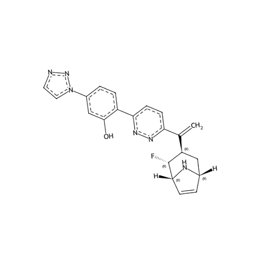 C=C(c1ccc(-c2ccc(-n3ccnn3)cc2O)nn1)[C@H]1C[C@@H]2C=C[C@@H](N2)[C@@H]1F